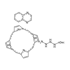 C1=Cc2cc3ccc(cc4nc(cc5ccc(cc1n2)[nH]5)C=C4)[nH]3.CCCCCCCCCCNNNN.c1ccc2nccnc2c1